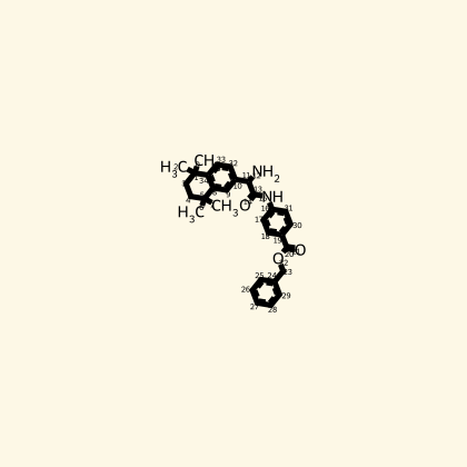 CC1(C)CCC(C)(C)c2cc(C(N)C(=O)Nc3ccc(C(=O)OCc4ccccc4)cc3)ccc21